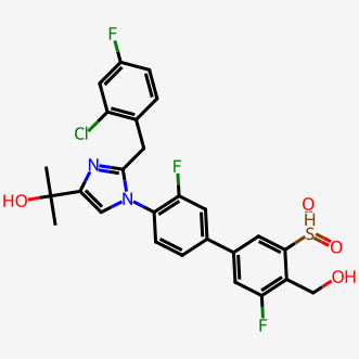 CC(C)(O)c1cn(-c2ccc(-c3cc(F)c(CO)c([SH](=O)=O)c3)cc2F)c(Cc2ccc(F)cc2Cl)n1